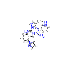 CC(C)c1cnn2c1N(C1CCCNC1)C(N)N(Cc1ccccc1-n1cccn1)C2N